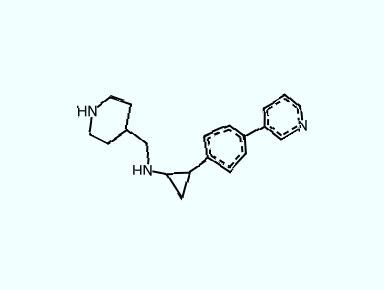 c1cncc(-c2ccc(C3CC3NCC3CCNCC3)cc2)c1